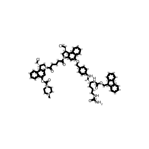 CN1CCN(C(=O)Oc2cc3c(c4ccccc24)[C@H](CCl)CN3C(=O)CCCC(=O)N2C[C@@H](CCl)c3c2cc(OCc2ccc(NC[C@@H](CCCNC(N)=O)NC(=O)OCC4c5ccccc5-c5ccccc54)cc2)c2ccccc32)CC1